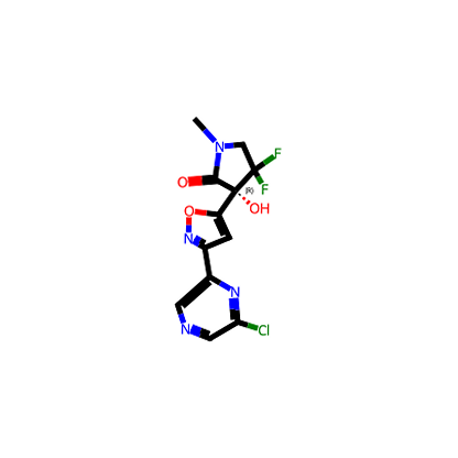 CN1CC(F)(F)[C@@](O)(c2cc(-c3cncc(Cl)n3)no2)C1=O